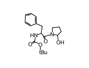 CC(C)(C)OC(=O)NC(Cc1ccccc1)C(=O)N1CCCC1O